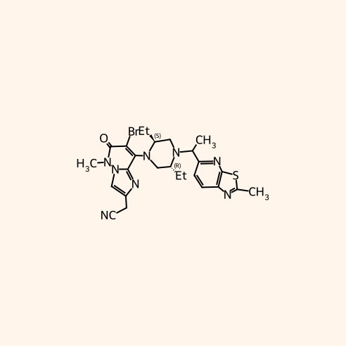 CC[C@H]1CN(C(C)c2ccc3nc(C)sc3n2)[C@H](CC)CN1c1c(Br)c(=O)n(C)n2cc(CC#N)nc12